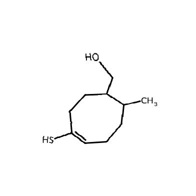 CC1CC/C=C(/S)CCC1CO